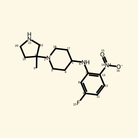 CC1(N2CCC(Nc3cc(F)ccc3[N+](=O)[O-])CC2)CCNC1